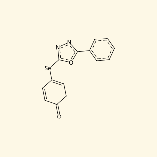 O=C1C=CC([Se]c2nnc(-c3ccccc3)o2)=CC1